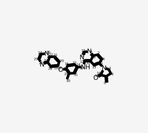 C=C1CCN(c2ccc3ncnc(Nc4ccc(Oc5ccc6nccnc6c5)c(C)c4)c3c2)C1=O